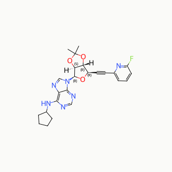 CC1(C)O[C@H]2[C@H](O1)[C@@H](C#Cc1cccc(F)n1)O[C@H]2n1cnc2c(NC3CCCC3)ncnc21